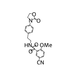 COc1ccc(C#N)cc1S(=O)(=O)NCCc1ccc(N2CCOC2=O)cc1